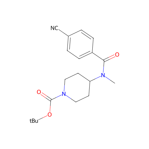 CN(C(=O)c1ccc(C#N)cc1)C1CCN(C(=O)OC(C)(C)C)CC1